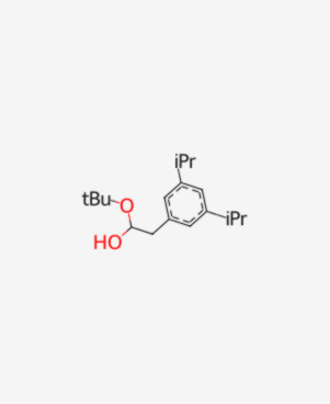 CC(C)c1cc(CC(O)OC(C)(C)C)cc(C(C)C)c1